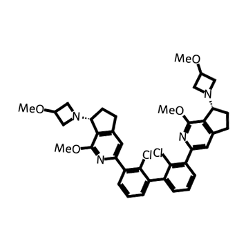 COc1nc(-c2cccc(-c3cccc(-c4cc5c(c(OC)n4)[C@H](N4CC(OC)C4)CC5)c3Cl)c2Cl)cc2c1[C@H](N1CC(OC)C1)CC2